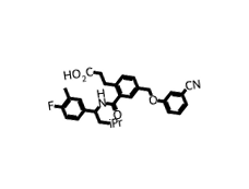 Cc1cc(C(CC(C)C)NC(=O)c2cc(COc3cccc(C#N)c3)ccc2CCC(=O)O)ccc1F